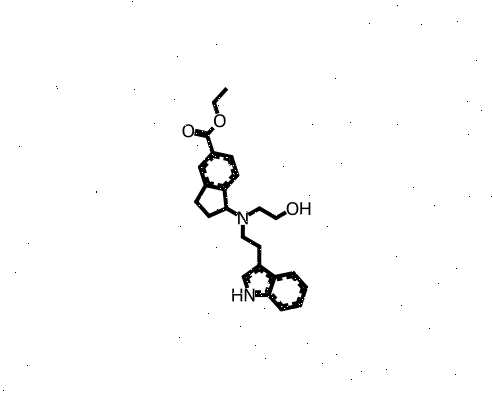 CCOC(=O)c1ccc2c(c1)CCC2N(CCO)CCc1c[nH]c2ccccc12